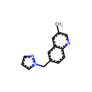 Cc1cnc2ccc(Cn3cccn3)cc2c1